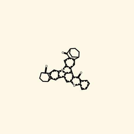 O=C1c2cc3c(cc2C2CCC1CC2)c1cc2oc4ccccc4c(=O)c2c2c4cc5c(cc4n3c12)C(=O)C1CCC5CC1